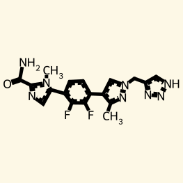 Cc1nn(Cc2c[nH]nn2)cc1-c1ccc(-c2cnc(C(N)=O)n2C)c(F)c1F